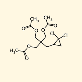 CC(=O)OCC(COC(C)=O)(COC(C)=O)CC1CC1(Cl)Cl